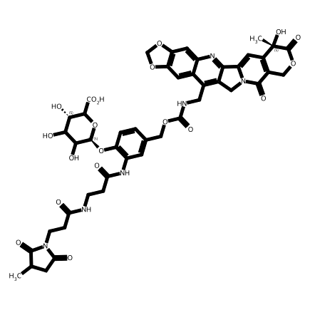 CC1CC(=O)N(CCC(=O)NCCC(=O)Nc2cc(COC(=O)NCc3c4c(nc5cc6c(cc35)OCO6)-c3cc5c(c(=O)n3C4)COC(=O)[C@@]5(C)O)ccc2O[C@@H]2OC(C(=O)O)[C@@H](O)C(O)C2O)C1=O